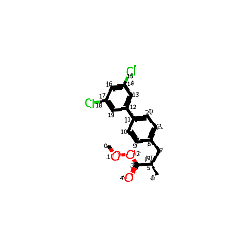 COOC(=O)[C@H](C)Cc1ccc(-c2cc(Cl)cc(Cl)c2)cc1